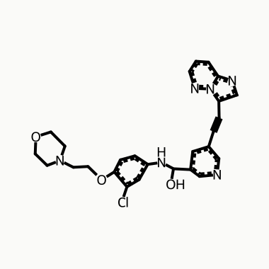 OC(Nc1ccc(OCCN2CCOCC2)c(Cl)c1)c1cncc(C#Cc2cnc3cccnn23)c1